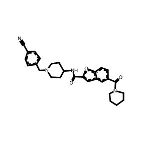 N#Cc1ccc(CN2CCC(NC(=O)c3cc4cc(C(=O)N5CCCCC5)ccc4o3)CC2)cc1